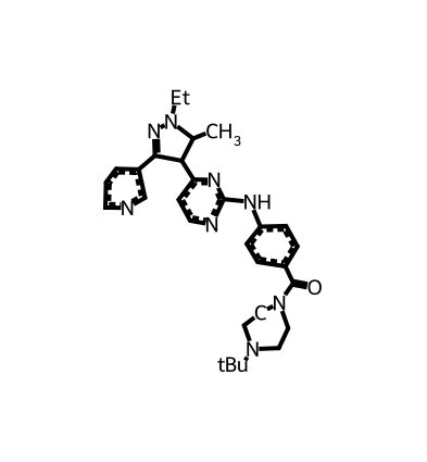 CCN1N=C(c2cccnc2)C(c2ccnc(Nc3ccc(C(=O)N4CCN(C(C)(C)C)CC4)cc3)n2)C1C